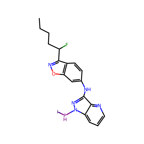 CCCCC(F)c1noc2cc(Nc3nn(PI)c4cccnc34)ccc12